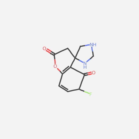 O=C1CC2(CNCN2)C2=C(C=CC(F)C2=O)O1